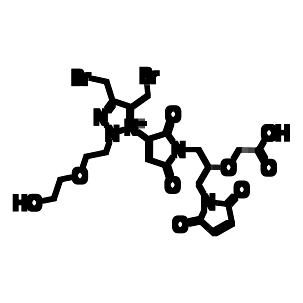 O=C(O)COC(CN1C(=O)C=CC1=O)CN1C(=O)C=C([n+]2c(CBr)c(CBr)nn2CCOCCO)C1=O